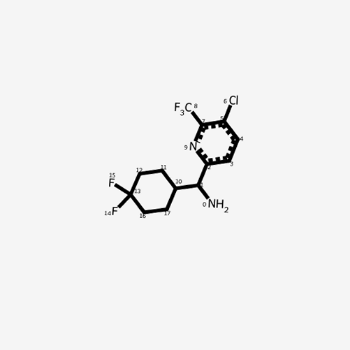 NC(c1ccc(Cl)c(C(F)(F)F)n1)C1CCC(F)(F)CC1